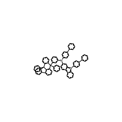 c1ccc(-c2ccc(N(c3cccc(C4(c5ccccc5)c5ccccc5C5(c6ccccc6)c6ccccc6-c6cccc4c65)c3)c3ccc4c5ccccc5n(-c5ccc(-c6ccccc6)cc5)c4c3)cc2)cc1